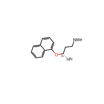 CCC[C@@H](CCNC)Oc1cccc2ccccc12